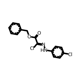 O=C(OCc1ccccc1)/C(Cl)=N/Nc1ccc(Cl)cc1